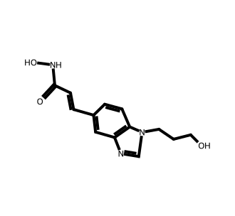 O=C(C=Cc1ccc2c(c1)ncn2CCCO)NO